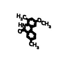 COc1cc(C)c2[nH]c(=O)c3cc(C)ccc3c2c1